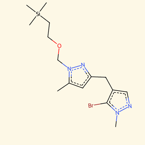 Cc1cc(Cc2cnn(C)c2Br)nn1COCC[Si](C)(C)C